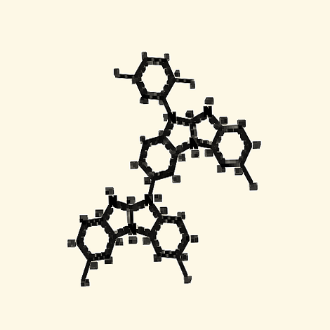 Cc1ccc(C)c(-n2c3ccc(-n4c5ccc(C)cc5n5c6cc(C)ccc6nc45)cc3n3c4cc(C)ccc4nc23)c1